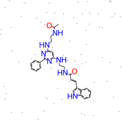 CC(=O)NCCNc1cc(NCCNC(=O)C=Cc2c[nH]c3ccccc23)nc(-c2ccccc2)n1